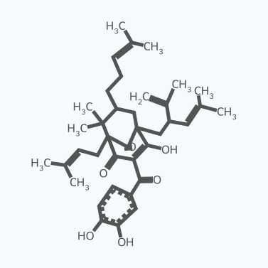 C=C(C)C(C=C(C)C)CC12CC(CCC=C(C)C)C(C)(C)C(CC=C(C)C)(C(=O)C(C(=O)c3ccc(O)c(O)c3)=C1O)C2=O